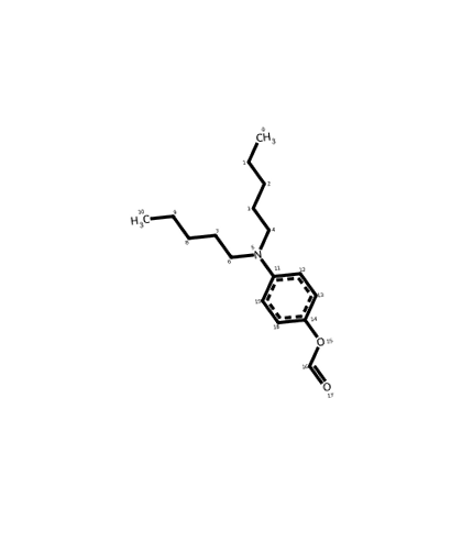 CCCCCN(CCCCC)c1ccc(OC=O)cc1